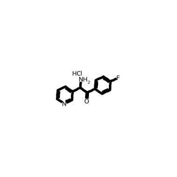 Cl.NC(C(=O)c1ccc(F)cc1)c1cccnc1